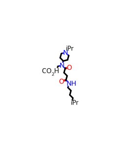 CC(C)CCCCNC(=O)CCC(=O)N(CC(=O)O)C1CCN(C(C)C)CC1